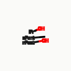 CC(C)O.CCCCCC.CCCCCO